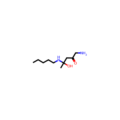 CCCCCNC(C)(O)CC(=O)CN